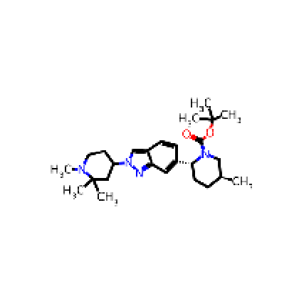 C[C@H]1CC[C@H](c2ccc3cn(C4CCN(C)C(C)(C)C4)nc3c2)N(C(=O)OC(C)(C)C)C1